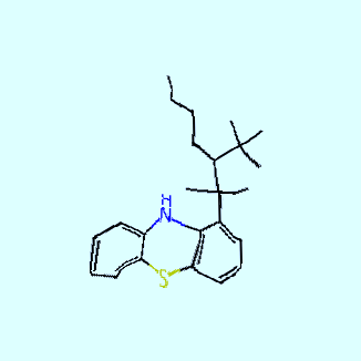 CCCCC(C(C)(C)C)C(C)(C)c1cccc2c1Nc1ccccc1S2